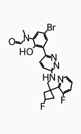 CN(C=O)c1cc(Br)cc(-c2ccc(NCC3(c4ncccc4F)CC(F)C3)nn2)c1O